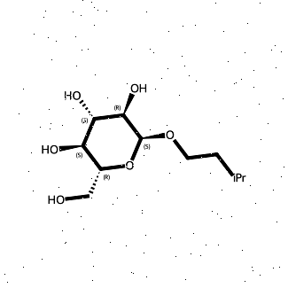 CC(C)CCO[C@H]1O[C@H](CO)[C@@H](O)[C@H](O)[C@H]1O